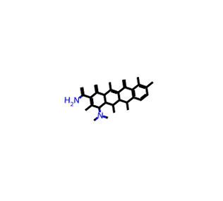 C=C(N)C1=C(C)C(N(C)C)C2C(C1=C)C(C)=C1C(=C)c3c(ccc(C)c3C)C(C)C1C2C